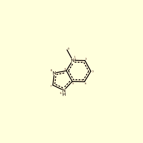 C[n+]1cccc2[nH]cnc21